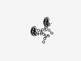 O=S(=O)(O)C(F)(F)C(F)(F)C(F)(F)C(F)(F)F.O=S(=O)([O-])C(F)(F)C(F)(F)C(F)(F)C(F)(F)F.c1ccc(-c2ccc(-c3ccccc3Sc3ccc(-c4ccccc4)c(Sc4ccc([S+](c5ccccc5)c5ccc(-c6ccccc6)cc5)cc4)c3)cc2)cc1